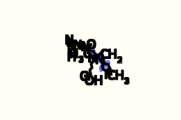 C=CC(/N=C/C(/C=C\CF)=C/C#CC)=C(\C=C(/C)C(=O)N1CCN(C2C=NC=CN2)CC1)/N=C/CCCCC(=O)O